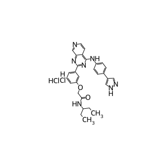 CCC(CC)NC(=O)COc1cccc(-c2nc(Nc3ccc(-c4cn[nH]c4)cc3)c3ccncc3n2)c1.Cl.Cl